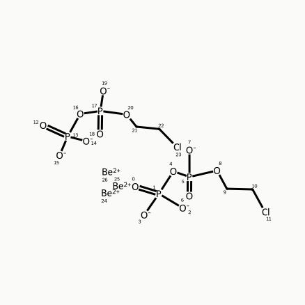 O=P([O-])([O-])OP(=O)([O-])OCCCl.O=P([O-])([O-])OP(=O)([O-])OCCCl.[Be+2].[Be+2].[Be+2]